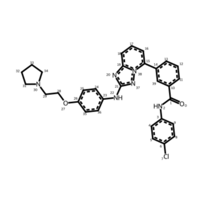 O=C(Nc1ccc(Cl)cc1)c1cccc(-c2cccc3nc(Nc4ccc(OCCN5CCCC5)cc4)nn23)c1